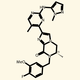 COc1cc(CN2C(=O)c3nc(-c4nc(Nc5ccnn5C)ncc4C)cn3C[C@@H]2C)ccc1F